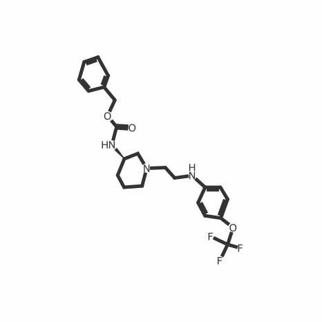 O=C(N[C@@H]1CCCN(CCNc2ccc(OC(F)(F)F)cc2)C1)OCc1ccccc1